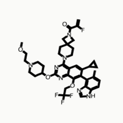 C=C(F)C(=O)N1CC2(CCN(c3nc(OC4CCN(CCOC)CC4)nc4c(OCC(F)(F)F)c(-c5c(C)ccc6[nH]cnc56)c(C5CC5)cc34)CC2)C1